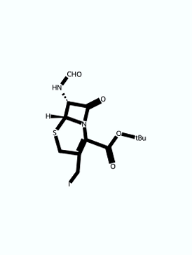 CC(C)(C)OC(=O)C1=C(CI)CS[C@@H]2[C@H](NC=O)C(=O)N12